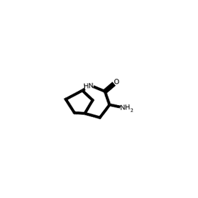 NC1CC2CCC(C2)NC1=O